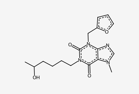 CC(O)CCCCn1c(=O)c2c(ncn2C)n(Cc2ccco2)c1=O